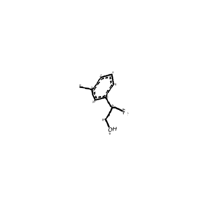 Cc1cccc(C(F)CO)c1